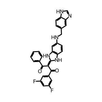 O=C(C(C(=O)c1cc(F)cc(F)c1)=C1Nc2ccc(NCc3ccc4[nH]cnc4c3)cc2N1)c1ccccc1